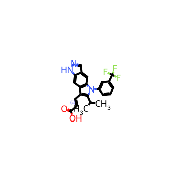 CC(C)c1c(/C=C/C(=O)O)c2cc3[nH]ncc3cc2n1-c1cccc(C(F)(F)F)c1